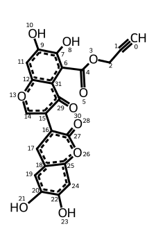 C#CCOC(=O)c1c(O)c(O)cc2occ(-c3cc4cc(O)c(O)cc4oc3=O)c(=O)c12